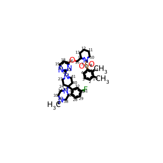 Cc1cccc(S(=O)(=O)N2CCCCC2COc2ccnc(N3CCC(c4cccc(F)c4)(N4CCN(C)CC4)CC3)n2)c1C